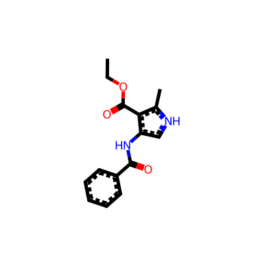 CCOC(=O)c1c(NC(=O)c2ccccc2)c[nH]c1C